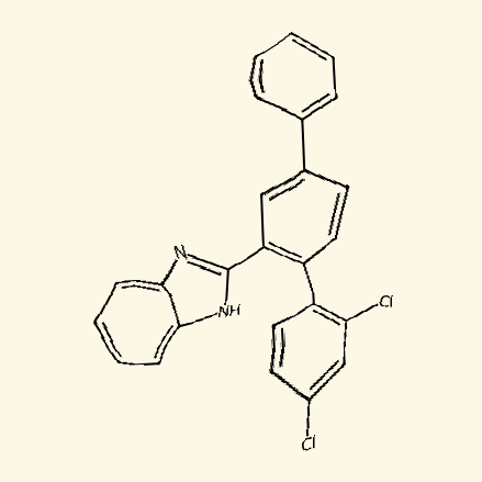 Clc1ccc(-c2ccc(-c3ccccc3)cc2-c2nc3ccccc3[nH]2)c(Cl)c1